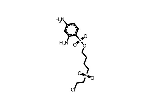 Nc1ccc(S(=O)(=O)OCCCCS(=O)(=O)CCCl)c(N)c1